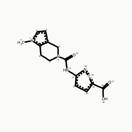 Cn1ccc2c1CCN(C(=O)Nc1ccc(C(=O)O)cn1)C2